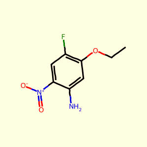 CCOc1cc(N)c([N+](=O)[O-])cc1F